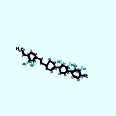 C=Cc1ccc(/C=C/C2CC=C(c3ccc(-c4ccc(CC)c(F)c4F)c(F)c3F)CC2)c(F)c1F